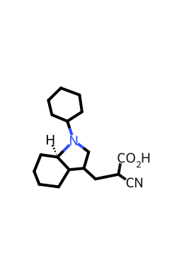 N#CC(CC1CN(C2CCCCC2)[C@@H]2CCCCC12)C(=O)O